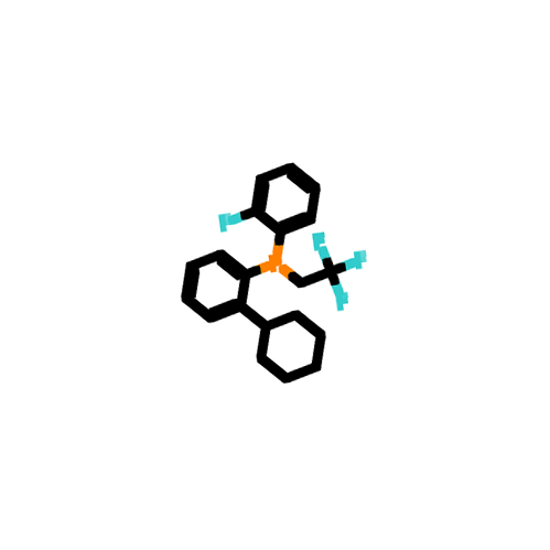 Fc1ccccc1P(CC(F)(F)F)c1ccccc1C1CCCCC1